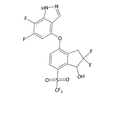 O=S(=O)(c1ccc(Oc2cc(F)c(F)c3[nH]ncc23)c2c1C(O)C(F)(F)C2)C(F)(F)F